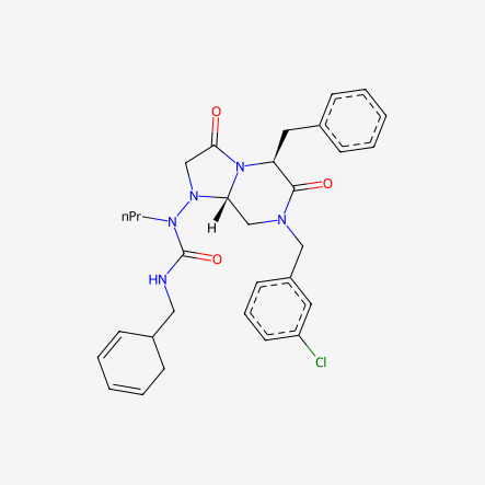 CCCN(C(=O)NCC1C=CC=CC1)N1CC(=O)N2[C@@H](Cc3ccccc3)C(=O)N(Cc3cccc(Cl)c3)C[C@@H]21